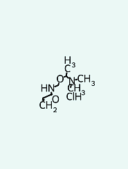 C=CC(=O)NCOC(C)N(C)C.Cl